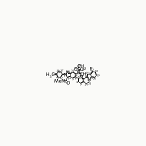 CNC(=O)c1c2cc(-c3ccc4c(n3)-c3cc5c(F)cccc5n3CC4)c(N(C)S(C)(=O)=O)cc2nn1-c1ccc(C)cc1